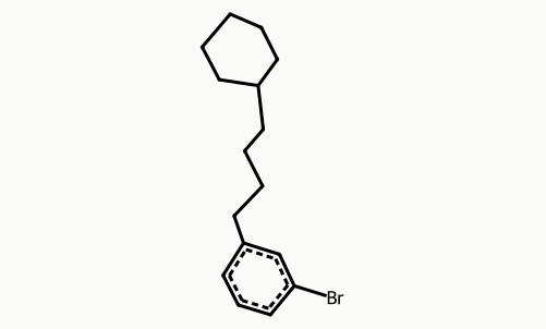 Brc1cccc(CCCCC2CCCCC2)c1